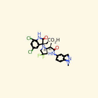 C[C@@H](C(=O)Nc1ccc2c(cnn2C)c1)[C@H]1CC(F)(F)CN1[C@@]1(CC(=O)O)C(=O)Nc2c(Cl)cc(Cl)cc21